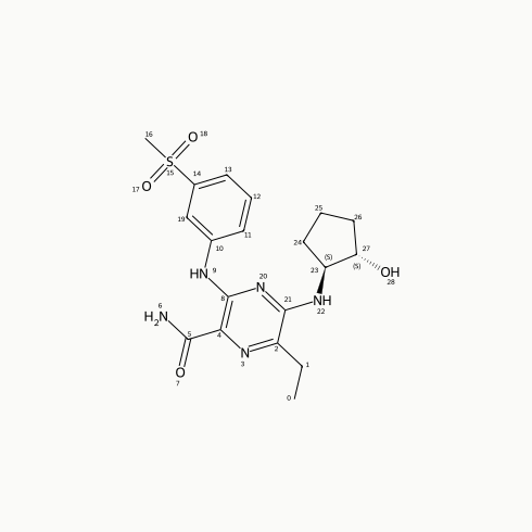 CCc1nc(C(N)=O)c(Nc2cccc(S(C)(=O)=O)c2)nc1N[C@H]1CCC[C@@H]1O